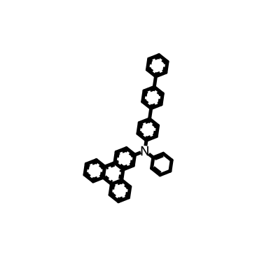 C1=CC(N(c2ccc(-c3ccc(-c4ccccc4)cc3)cc2)c2ccc3c4ccccc4c4ccccc4c3c2)=CCC1